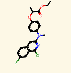 CCOC(=O)C(C)Oc1ccc(N(C)c2cc3ccc(F)cc3c(Cl)n2)cc1